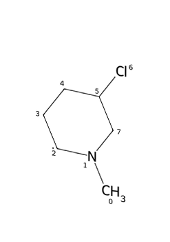 CN1[CH]CCC(Cl)C1